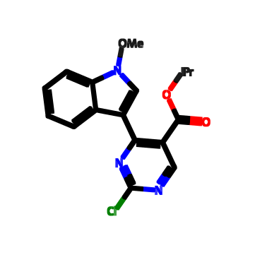 COn1cc(-c2nc(Cl)ncc2C(=O)OC(C)C)c2ccccc21